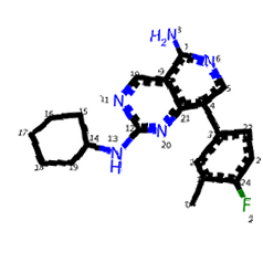 Cc1cc(-c2cnc(N)c3cnc(NC4CCCCC4)nc23)ccc1F